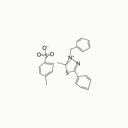 Cc1ccc(S(=O)(=O)[O-])cc1.Cc1sc(-c2ccccc2)n[n+]1Cc1ccccc1